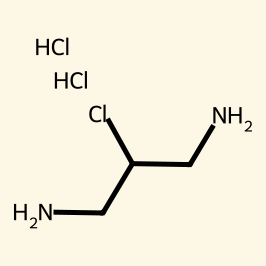 Cl.Cl.NCC(Cl)CN